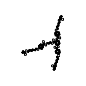 C=CC(=O)OCCCCCCOc1ccc(C(=O)OCCCOC(=O)c2cc(OC(=O)c3ccc(OCCCCCOC(=O)C=C)cc3)ccc2OC(=O)c2ccc(OCCCCCOC(=O)C=C)cc2)cc1